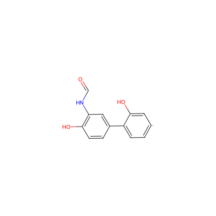 O=CNc1cc(-c2cc[c]cc2O)ccc1O